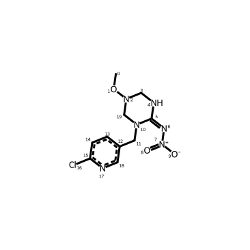 CON1CN/C(=N/[N+](=O)[O-])N(Cc2ccc(Cl)nc2)C1